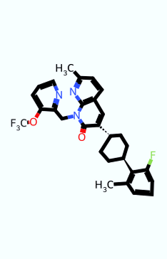 Cc1ccc2cc([C@H]3CC[C@H](c4c(C)cccc4F)CC3)c(=O)n(Cc3ncccc3OC(F)(F)F)c2n1